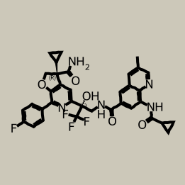 Cc1cnc2c(NC(=O)C3CC3)cc(C(=O)NC[C@](O)(c3cc4c(c(-c5ccc(F)cc5)n3)OC[C@@]4(C(N)=O)C3CC3)C(F)(F)F)cc2c1